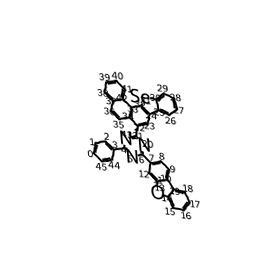 c1ccc(-c2nc(-c3ccc4c(c3)oc3ccccc34)nc(-c3cc4c5ccccc5[se]c4c4c3ccc3ccccc34)n2)cc1